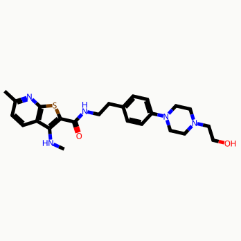 CNc1c(C(=O)NCCc2ccc(N3CCN(CCO)CC3)cc2)sc2nc(C)ccc12